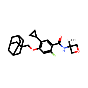 O=C(NC1(C(=O)O)COC1)c1cc(C2CC2)c(OCC23CC4CC(CC(C4)C2)C3)cc1F